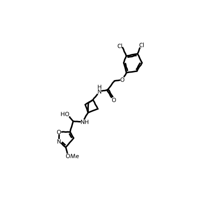 COc1cc(C(O)NC23CC(NC(=O)COc4ccc(Cl)c(Cl)c4)(C2)C3)on1